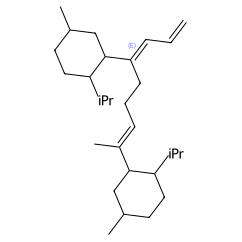 C=C/C=C(\CCC=C(C)C1CC(C)CCC1C(C)C)C1CC(C)CCC1C(C)C